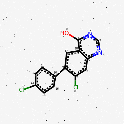 Oc1ncnc2cc(Cl)c(-c3ccc(Cl)cc3)cc12